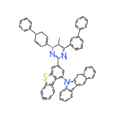 CC1C(c2cccc(-c3ccccc3)c2)=NC(c2cc(-n3c4ccccc4c4cc5ccccc5cc43)c3c(c2)sc2ccccc23)=NC1C1=CCC(c2ccccc2)C=C1